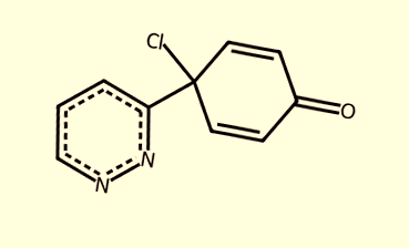 O=C1C=CC(Cl)(c2cccnn2)C=C1